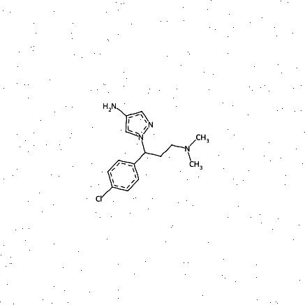 CN(C)CCC(c1ccc(Cl)cc1)n1cc(N)cn1